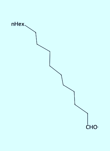 CCCCCCCCCCCCCCC[14C]=O